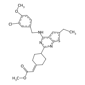 CCc1cc2c(NCc3ccc(OC)c(Cl)c3)nc(C3CCC(=CC(=O)OC)CC3)nc2s1